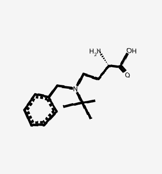 CC(C)(C)N(CC[C@H](N)C(=O)O)Cc1ccccc1